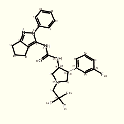 O=C(Nc1c2c(nn1-c1ccccc1)CCC2)N[C@@H]1CN(CC(F)(F)F)C[C@H]1c1cccc(F)c1